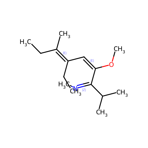 CC/C(C)=C(/C=C(OC)\C(=N/C)C(C)C)CC